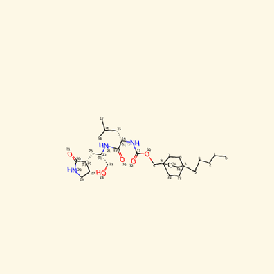 CCCCCC12CCC(COC(=O)N[C@@H](CC(C)C)C(=O)N[C@H](CO)C[C@@H]3CCNC3=O)(CC1)CC2